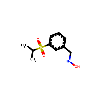 CC(C)S(=O)(=O)c1cccc(CNO)c1